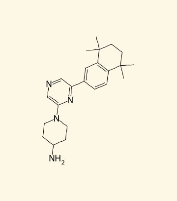 CC1(C)CCC(C)(C)c2cc(-c3cncc(N4CCC(N)CC4)n3)ccc21